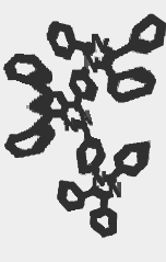 c1ccc(-c2cc(-c3ccccc3)c3nc(-c4ccc(-n5c(-c6ccccc6)nc(-c6ccccc6)c5-c5ccccc5)cc4)nc(-c4ccc(-n5c(-c6ccccc6)nc(-c6ccccc6)c5-c5ccccc5)cc4)c3c2)cc1